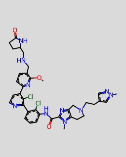 COc1nc(-c2ccnc(-c3cccc(NC(=O)c4nc5c(n4C)CCN(CCc4cnn(C)c4)C5)c3Cl)c2Cl)ccc1CNCC1CCC(=O)N1